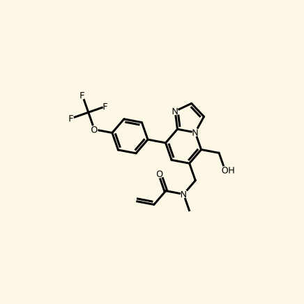 C=CC(=O)N(C)Cc1cc(-c2ccc(OC(F)(F)F)cc2)c2nccn2c1CO